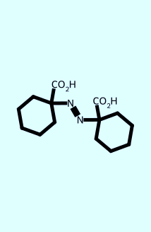 O=C(O)C1(N=NC2(C(=O)O)CCCCC2)CCCCC1